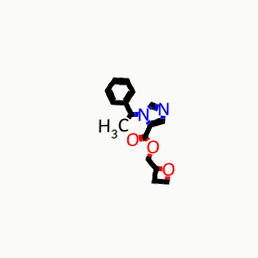 CC(c1ccccc1)n1cncc1C(=O)OCC1CCO1